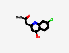 COC(=O)Cc1cc(O)c2ccc(Cl)cc2n1